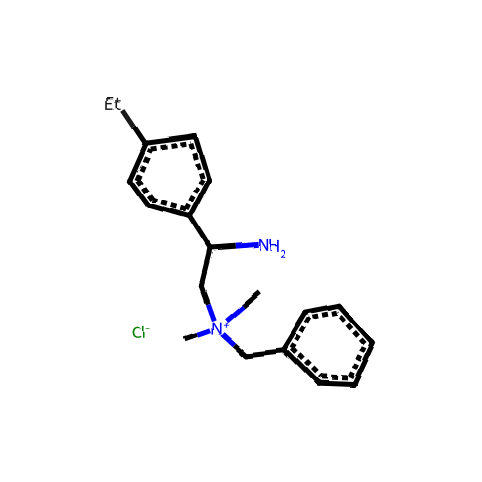 CCc1ccc(C(N)C[N+](C)(C)Cc2ccccc2)cc1.[Cl-]